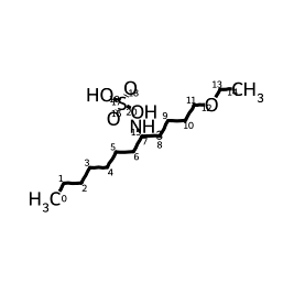 CCCCCCCCCCCCOCC.N.O=S(=O)(O)O